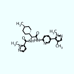 Cc1cnn(C)c1-c1ccc(NC(=O)[C@@H](NC(=O)c2ccnn2C)[C@H]2CC[C@H](C)CC2)nc1